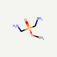 COP(=O)(CN)CN